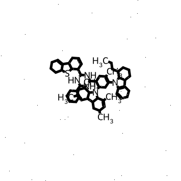 CCCC1CCCC2C3=C(C=CCC3)N(C3=C(C)CC(C4NC(C5CCCCC5)NC(C5C=CCC6C7=CCCCC7SC65)N4)C(N4C5C(C)=CC(C)CC5C5C=C(C)CC(C)C54)C3)C12